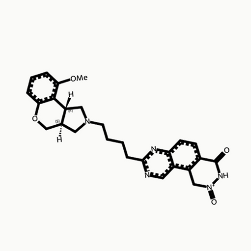 COc1cccc2c1[C@@H]1CN(CCCCc3ncc4c5c(ccc4n3)C(=O)N[N+](=O)C5)C[C@H]1CO2